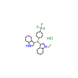 CCn1cc([C](c2ccc(C(F)(F)F)cc2)c2c[nH]c3ccccc23)c2ccccc21.Cl